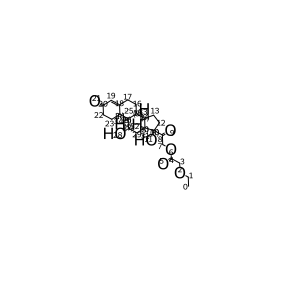 CCOCC(=O)OCC(=O)[C@@]1(O)CC[C@H]2[C@@H]3CCC4=CC(=O)CC[C@]4(C)[C@H]3[C@@H](O)C[C@@]21C